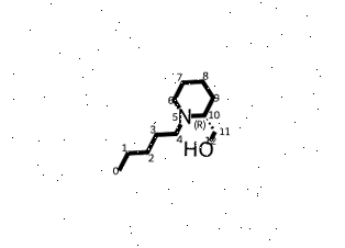 CCCCCN1CCCC[C@@H]1CO